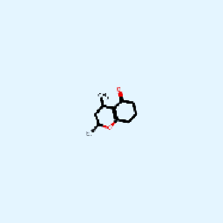 CCC1CC(C)C2=C(CCCC2=O)O1